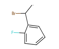 [CH2]C(Br)c1ccccc1F